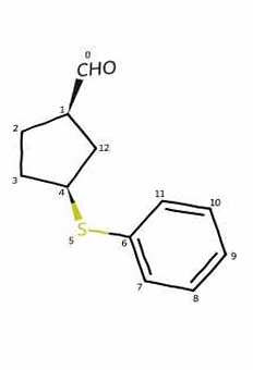 O=C[C@@H]1CC[C@H](Sc2ccccc2)C1